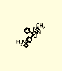 Cc1cnc2oc(-c3ccc(C4(N)CCC4)cc3)c(-c3ccccc3)c2n1